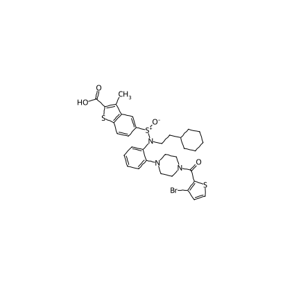 Cc1c(C(=O)O)sc2ccc([S+]([O-])N(CCC3CCCCC3)c3ccccc3N3CCN(C(=O)c4sccc4Br)CC3)cc12